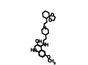 COc1ccc2c(c1)C(NCCC1CCN(CCC3CCCCC34OCCO4)CC1)=C(O)CN2